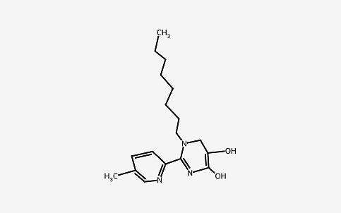 CCCCCCCCN1CC(O)=C(O)N=C1c1ccc(C)cn1